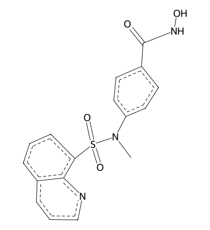 CN(c1ccc(C(=O)NO)cc1)S(=O)(=O)c1cccc2cccnc12